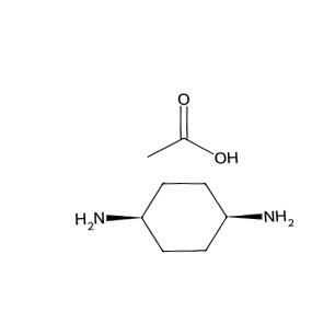 CC(=O)O.N[C@H]1CC[C@@H](N)CC1